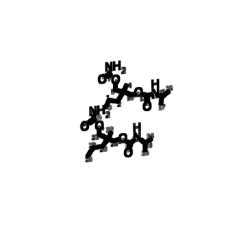 CCCC(C)(COC(N)=O)COC(=O)NC(C)C.CCCC(C)(COC(N)=O)COC(=O)NC(C)C